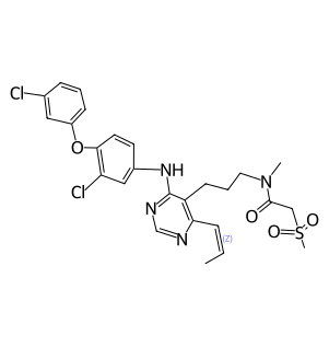 C/C=C\c1ncnc(Nc2ccc(Oc3cccc(Cl)c3)c(Cl)c2)c1CCCN(C)C(=O)CS(C)(=O)=O